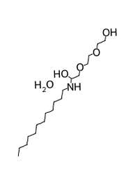 CCCCCCCCCCCCNC(O)COCCOCCO.O